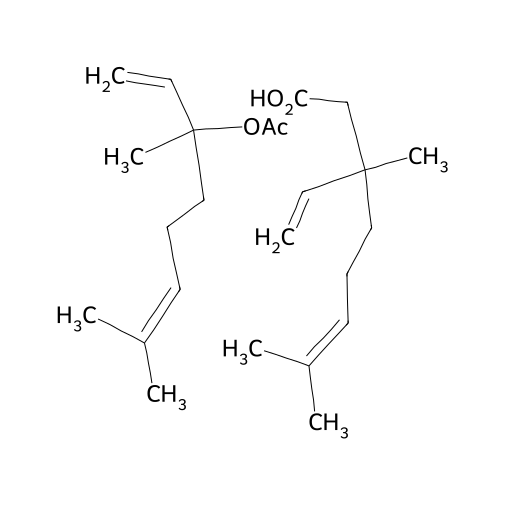 C=CC(C)(CCC=C(C)C)CC(=O)O.C=CC(C)(CCC=C(C)C)OC(C)=O